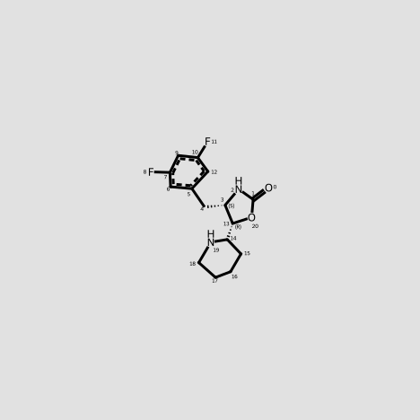 O=C1N[C@@H](Cc2cc(F)cc(F)c2)[C@@H](C2CCCCN2)O1